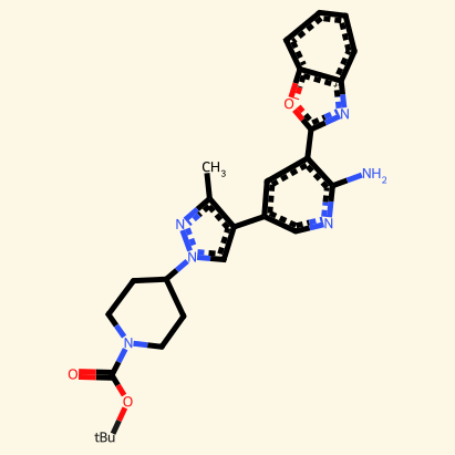 Cc1nn(C2CCN(C(=O)OC(C)(C)C)CC2)cc1-c1cnc(N)c(-c2nc3ccccc3o2)c1